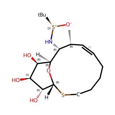 C[C@@H]1/C=C\CCCCS[C@H]2O[C@@H]([C@H](O)[C@H](O)[C@H]2O)[C@@H]1N[S@+]([O-])C(C)(C)C